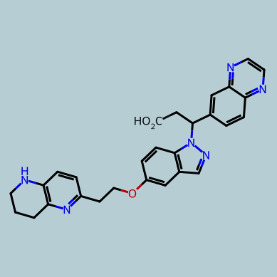 O=C(O)CC(c1ccc2nccnc2c1)n1ncc2cc(OCCc3ccc4c(n3)CCCN4)ccc21